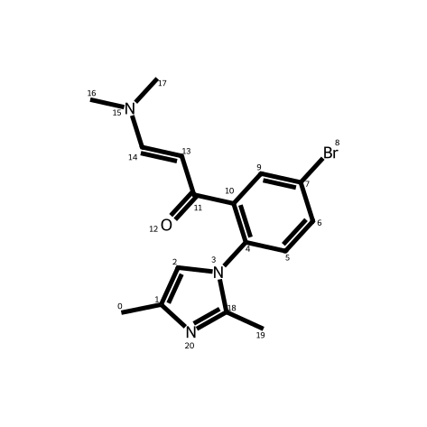 Cc1cn(-c2ccc(Br)cc2C(=O)C=CN(C)C)c(C)n1